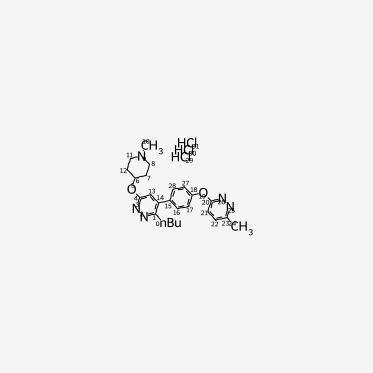 CCCCc1nnc(OC2CCN(C)CC2)cc1-c1ccc(Oc2ccc(C)nn2)cc1.Cl.Cl.Cl